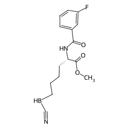 COC(=O)[C@H](CCCCBC#N)NC(=O)c1cccc(F)c1